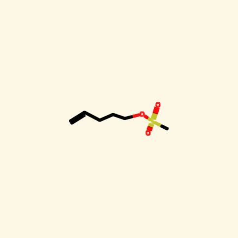 C=CCCCOS(C)(=O)=O